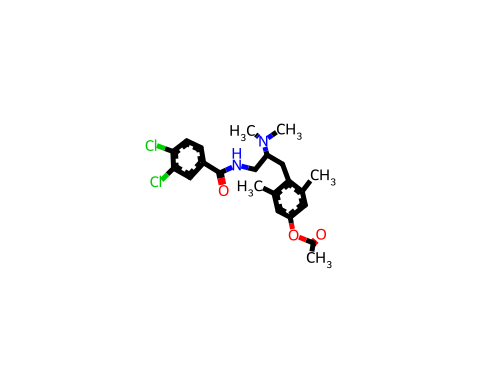 CC(=O)Oc1cc(C)c(CC(CNC(=O)c2ccc(Cl)c(Cl)c2)N(C)C)c(C)c1